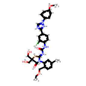 Cc1ccc(COCC(F)(F)F)c(N2C(=O)C(CO)(CO)S/C2=N\C(=O)Nc2ccc(-c3ncn(-c4ccc(OC(F)(F)F)cc4)n3)cc2F)c1